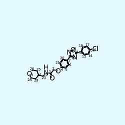 O=C(COc1ccc(-c2noc(-c3ccc(Cl)cc3)n2)cc1)NCC1CCOCC1